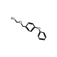 CC(=O)COCc1ccc(Oc2ccccc2)cc1